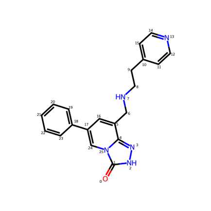 O=c1[nH]nc2c(CNCCc3ccncc3)cc(-c3ccccc3)cn12